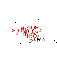 O.O.O.O.O.O.[Mn][Br]